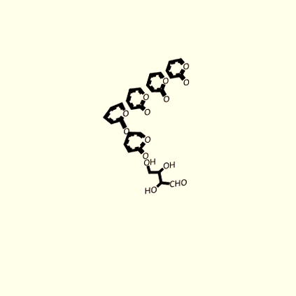 O=CC(O)C(O)CO.O=c1cccco1.O=c1cccco1.O=c1cccco1.O=c1cccco1.O=c1cccco1